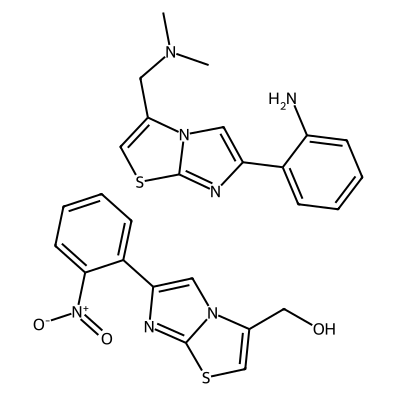 CN(C)Cc1csc2nc(-c3ccccc3N)cn12.O=[N+]([O-])c1ccccc1-c1cn2c(CO)csc2n1